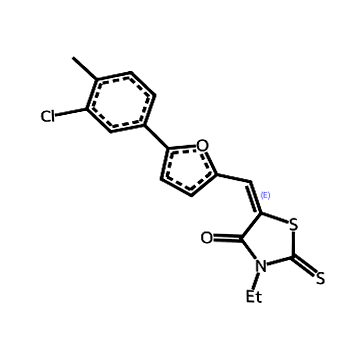 CCN1C(=O)/C(=C\c2ccc(-c3ccc(C)c(Cl)c3)o2)SC1=S